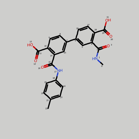 CNC(=O)c1cc(-c2ccc(C(=O)O)c(C(=O)Nc3ccc(C)cc3)c2)ccc1C(=O)O